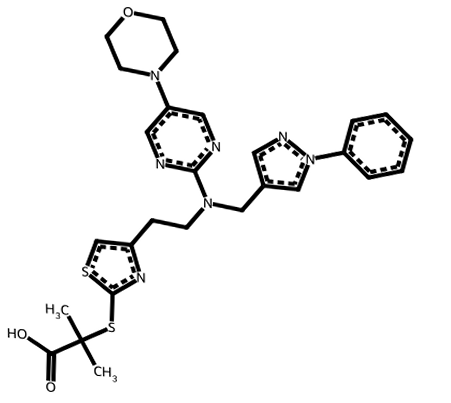 CC(C)(Sc1nc(CCN(Cc2cnn(-c3ccccc3)c2)c2ncc(N3CCOCC3)cn2)cs1)C(=O)O